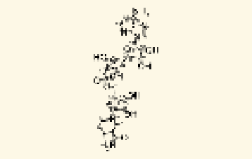 NC(=O)c1ccc[n+]([C@@H]2S[C@H](COP(=O)(O)OP(=O)(O)OC[C@H]3O[C@@H](n4cnc5c(N)ncnc54)[C@H](O)[C@@H]3O)[C@@H](O)[C@H]2O)c1